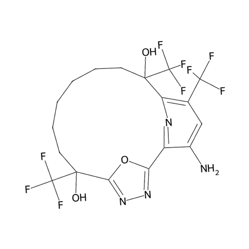 Nc1cc(C(F)(F)F)c2nc1-c1nnc(o1)C(O)(C(F)(F)F)CCCCCCC2(O)C(F)(F)F